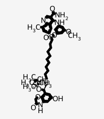 COc1cccc(Nc2c(C(N)=O)cnc3c(C)cc(S(=O)(=O)CCCCCCCCCCCNC[C@H](O[Si](C)(C)C(C)(C)C)c4cc(O)cc5c4OCC(=O)N5)cc23)c1